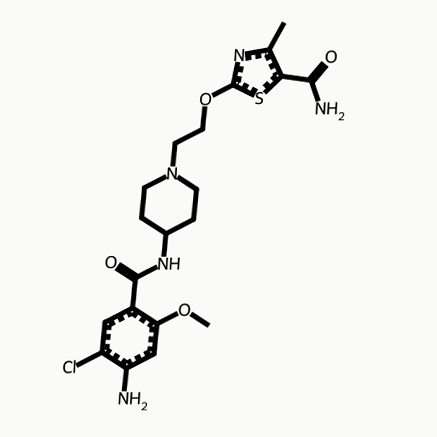 COc1cc(N)c(Cl)cc1C(=O)NC1CCN(CCOc2nc(C)c(C(N)=O)s2)CC1